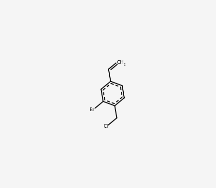 C=Cc1ccc(CCl)c(Br)c1